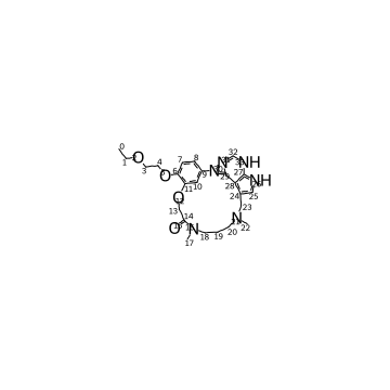 CCOCCOc1ccc2cc1OCC(=O)N(C)CCCN(C)Cc1c[nH]c3c1/C(=N\2)N=CN3